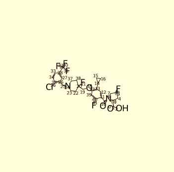 O=C(O)[C@@H]1C[C@@H](F)CN1C(=O)c1cc(C2CC2)c(OCC2(F)CCN(Cc3cc(C(F)(F)F)ccc3Cl)CC2)cc1F